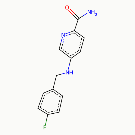 NC(=O)c1ccc(NCc2ccc(F)cc2)cn1